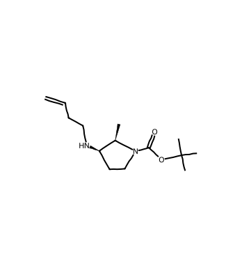 C=CCCN[C@@H]1CCN(C(=O)OC(C)(C)C)[C@@H]1C